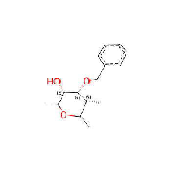 CC1OC(C)[C@H](O)[C@H](OCc2ccccc2)[C@@H]1C